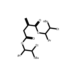 C=C(CC(=O)OC(C(C)C)C(CC)CCCC)C(=O)OC(C(C)C)C(CC)CCCC